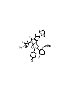 CCCCOc1ccc(F)cc1[C@H](Cn1c(=O)n(C(C)(C)C(=O)NC(C)C)c(=O)c2c(C)c(-n3nccn3)sc21)OC1CCC(=O)CC1